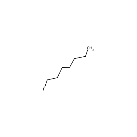 CCCCCCCF